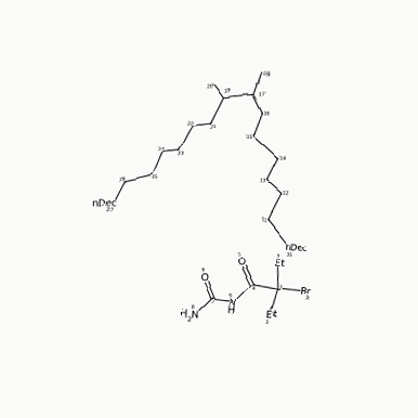 CCC(Br)(CC)C(=O)NC(N)=O.CCCCCCCCCCCCCCCCC(C)C(C)CCCCCCCCCCCCCCCC